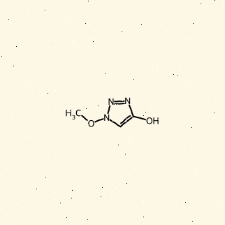 COn1cc(O)nn1